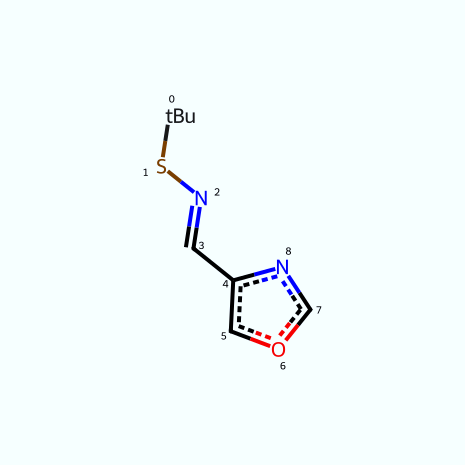 CC(C)(C)S/N=C/c1cocn1